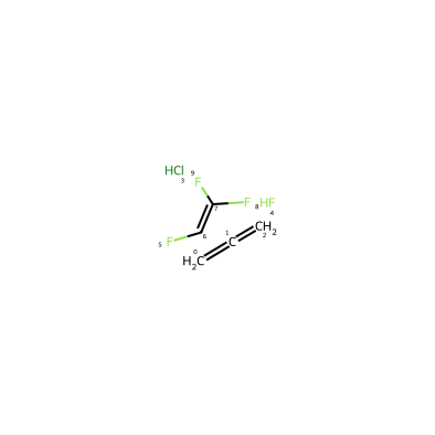 C=C=C.Cl.F.FC=C(F)F